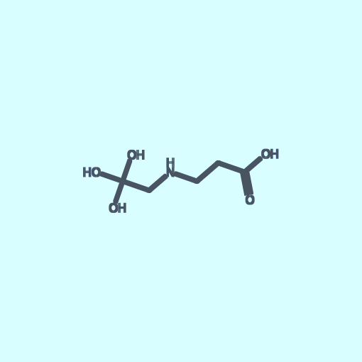 O=C(O)CCNCC(O)(O)O